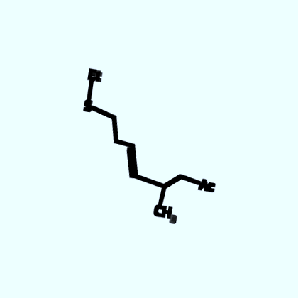 CCSCC/C=C/C(C)CC(C)=O